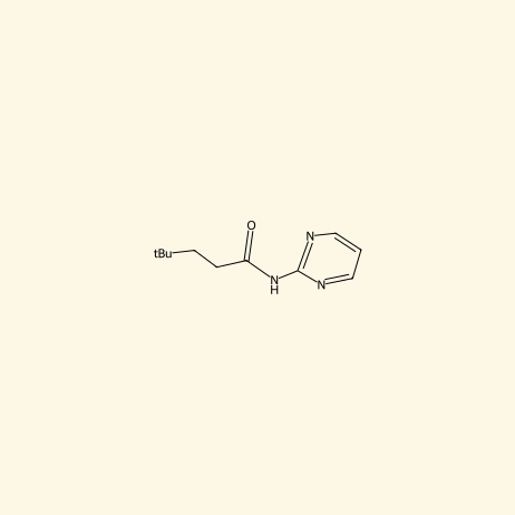 CC(C)(C)CCC(=O)Nc1ncccn1